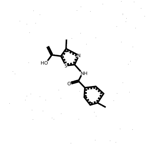 C=C(O)c1sc(NC(=O)c2ccc(C)cc2)nc1C